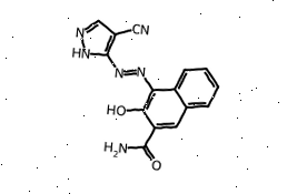 N#Cc1cn[nH]c1/N=N/c1c(O)c(C(N)=O)cc2ccccc12